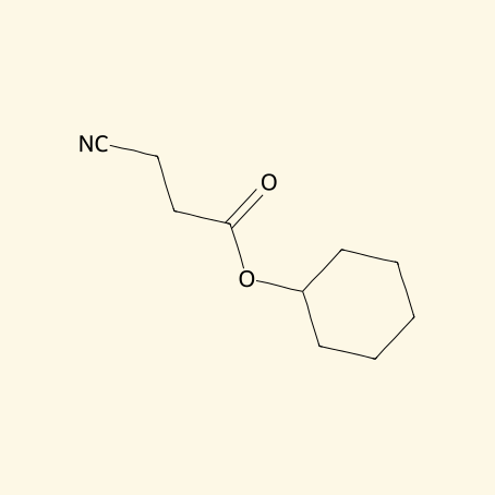 N#CCCC(=O)OC1CCCCC1